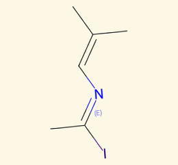 CC(C)=C/N=C(\C)I